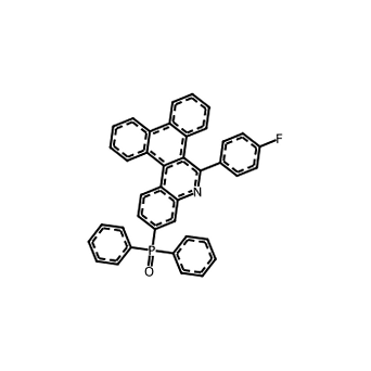 O=P(c1ccccc1)(c1ccccc1)c1ccc2c(c1)nc(-c1ccc(F)cc1)c1c3ccccc3c3ccccc3c21